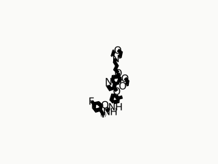 Cc1cc(NC(=O)N[C@@H](C)c2ccc(F)cc2)ccc1Oc1ccnc2cc(OCCCN3CCOCC3)c3c(c12)OCCO3